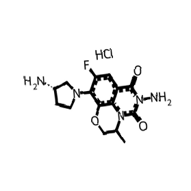 CC1COc2c(N3CC[C@H](N)C3)c(F)cc3c(=O)n(N)c(=O)n1c23.Cl